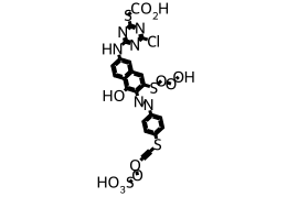 O=C(O)Sc1nc(Cl)nc(Nc2ccc3c(O)c(N=Nc4ccc(SC#COOS(=O)(=O)O)cc4)c(SOOO)cc3c2)n1